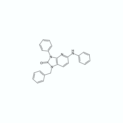 O=c1n(Cc2ccccc2)c2ccc(Nc3ccccc3)nc2n1-c1ccccc1